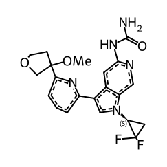 COC1(c2cccc(-c3cn([C@H]4CC4(F)F)c4cnc(NC(N)=O)cc34)n2)CCOC1